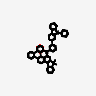 CC1(C)c2ccccc2-c2ccc(N(c3cccc(-c4ccc5c6ccccc6n(-c6ccccc6)c5c4)c3)c3ccccc3-c3ccccc3-c3ccccc3C3=CCCC=C3)cc21